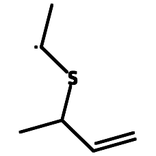 C=CC(C)S[CH]C